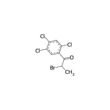 CC(Br)C(=O)c1cc(Cl)c(Cl)cc1Cl